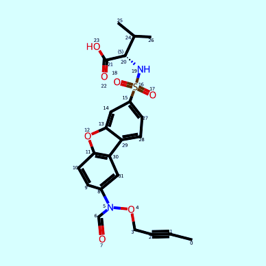 CC#CCON(C=O)c1ccc2oc3cc(S(=O)(=O)N[C@H](C(=O)O)C(C)C)ccc3c2c1